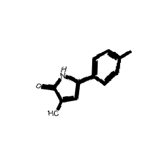 Cc1ccc(C2C=C(O)C(=O)N2)cc1